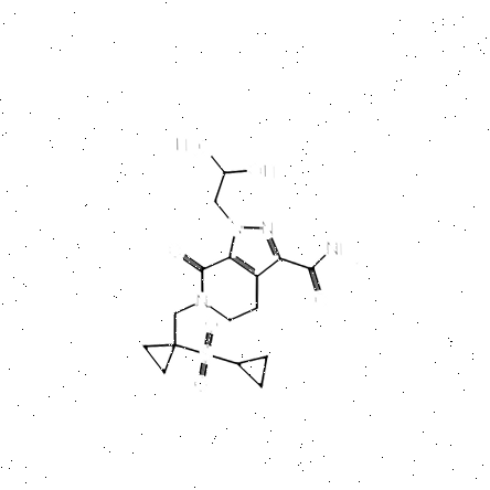 CC(O)Cn1nc(C(N)=O)c2c1C(=O)N(CC1(S(=O)(=O)C3CC3)CC1)CC2